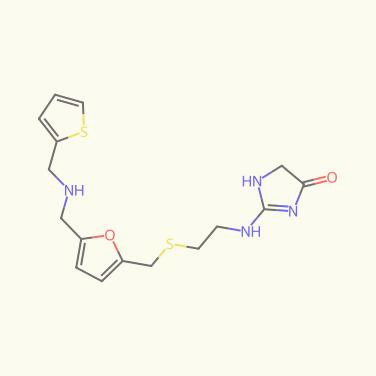 O=C1CNC(NCCSCc2ccc(CNCc3cccs3)o2)=N1